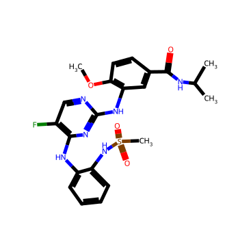 COc1ccc(C(=O)NC(C)C)cc1Nc1ncc(F)c(Nc2ccccc2NS(C)(=O)=O)n1